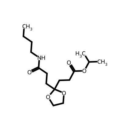 CCCCNC(=O)CCC1(CCC(=O)OC(C)C)OCCO1